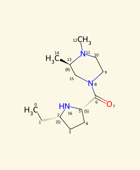 CC[C@H]1CC[C@@H](C(=O)N2CCN(C)[C@H](C)C2)N1